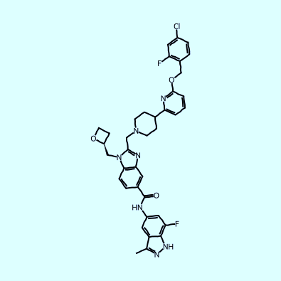 Cc1n[nH]c2c(F)cc(NC(=O)c3ccc4c(c3)nc(CN3CCC(c5cccc(OCc6ccc(Cl)cc6F)n5)CC3)n4C[C@@H]3CCO3)cc12